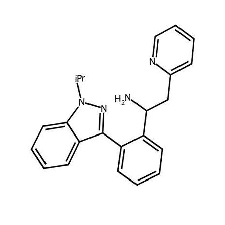 CC(C)n1nc(-c2ccccc2C(N)Cc2ccccn2)c2ccccc21